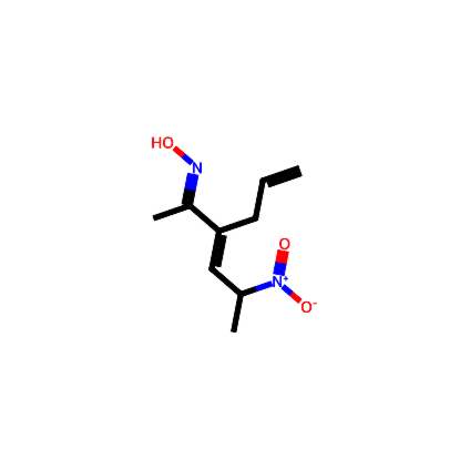 C=CCC(=C\C(C)[N+](=O)[O-])/C(C)=N/O